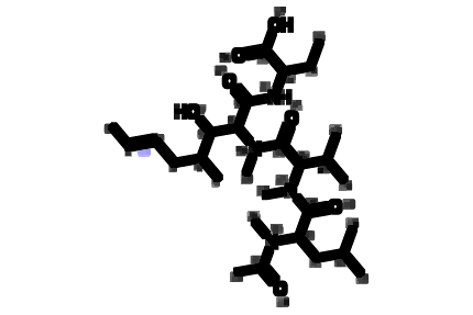 C/C=C/CC(C)C(O)C(C(=O)NC(CC)C(=O)O)N(C)C(=O)C(C(C)C)N(C)C(=O)C(CC(C)C)N(C)C(C)=O